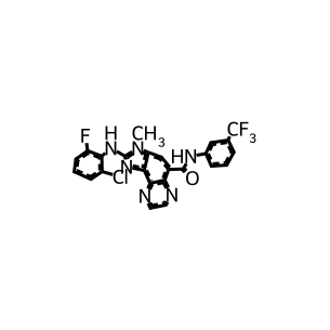 Cn1c(Nc2c(F)cccc2Cl)nc2c3nccnc3c(C(=O)Nc3cccc(C(F)(F)F)c3)cc21